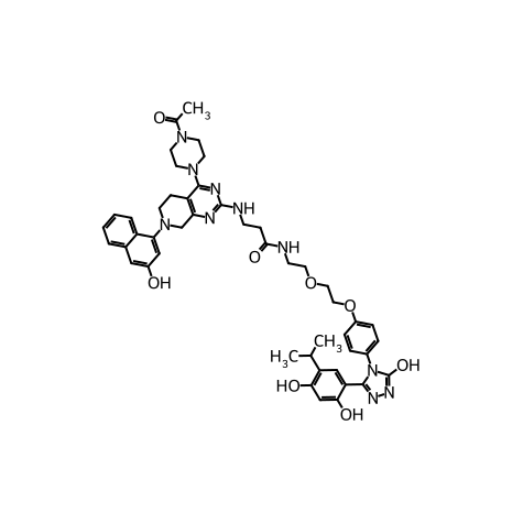 CC(=O)N1CCN(c2nc(NCCC(=O)NCCOCCOc3ccc(-n4c(O)nnc4-c4cc(C(C)C)c(O)cc4O)cc3)nc3c2CCN(c2cc(O)cc4ccccc24)C3)CC1